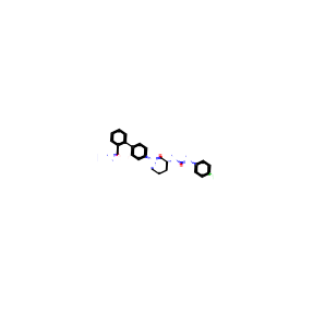 NC(=O)c1ccccc1-c1ccc(N2CCC[C@H](NC(=O)Nc3ccc(Cl)cc3)C2=O)cc1